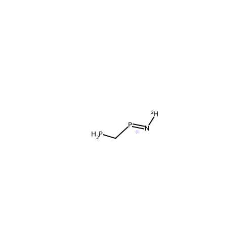 [2H]/N=P/CP